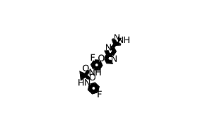 O=C(Nc1ccc(F)cc1)C1(C(=O)Nc2ccc(Oc3ccnc4cc(-c5cn[nH]c5)ncc34)c(F)c2)CC1